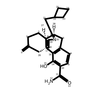 C=C1CC[C@H]2[C@H]3Cc4ccc(C(N)=O)c(O)c4[C@@]2(C=CN3CC2CCC2)C1